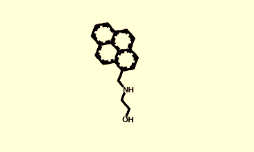 OCCNCc1ccc2ccc3cccc4ccc1c2c34